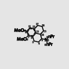 CCCN(CCC)C1CCc2c(OC)c(OC)cc3c2C1CCC3